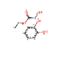 CCOC(=O)CO.Oc1ccccc1O